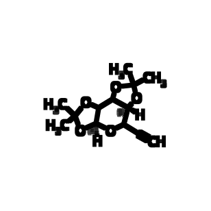 C#CC1O[C@H]2OC(C)(C)OC2C2OC(C)(C)O[C@H]12